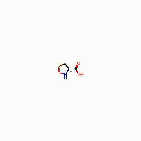 O=C(O)[C@H]1CSON1